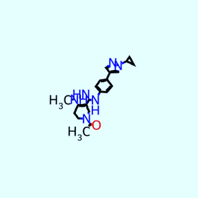 CNC1=C(C(=N)Nc2ccc(-c3cnn(C4CC4)c3)cc2)CN(C(C)=O)CC1